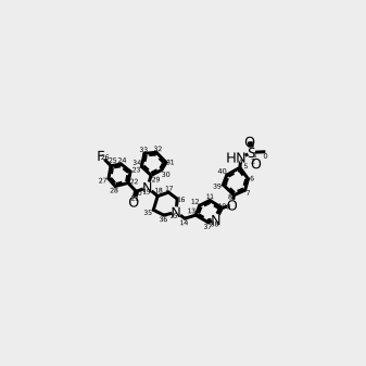 CS(=O)(=O)Nc1ccc(Oc2ccc(CN3CCC(N(C(=O)c4ccc(F)cc4)c4ccccc4)CC3)cn2)cc1